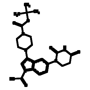 CC(C)(C)OC(=O)N1CCN(c2cn(C(=O)O)c3ccc(N4CCC(=O)NC4=O)cc23)CC1